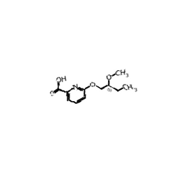 CC[C@@H](COc1cccc(C(=O)O)n1)OC